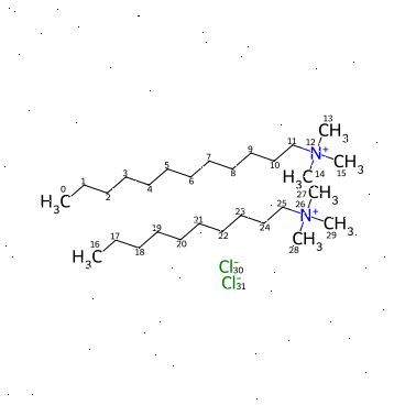 CCCCCCCCCCCC[N+](C)(C)C.CCCCCCCCCC[N+](C)(C)C.[Cl-].[Cl-]